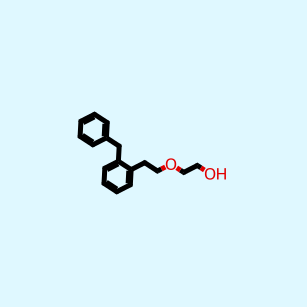 OCCOCCc1ccccc1Cc1ccccc1